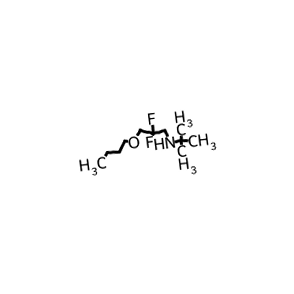 CCCCOCC(F)(F)CNC(C)(C)C